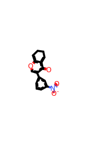 O=c1c(-c2cccc([N+](=O)[O-])c2)coc2c1=CCCC=2